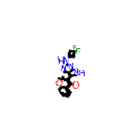 CC1(C)Oc2ccccc2C(=O)C1c1c[nH]c2nc(NC3CC(F)(F)C3)ncc12